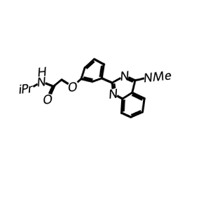 CNc1nc(-c2cccc(OCC(=O)NC(C)C)c2)nc2ccccc12